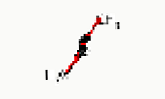 CCCCCCCCCCc1ccc2cc3c(cc2c1)oc1cc2c(cc13)sc1cc3cc(CCCCCCCCCC)ccc3cc12